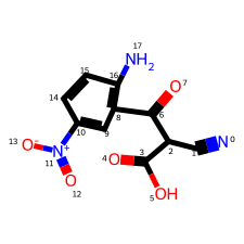 N#CC(C(=O)O)C(=O)c1cc([N+](=O)[O-])ccc1N